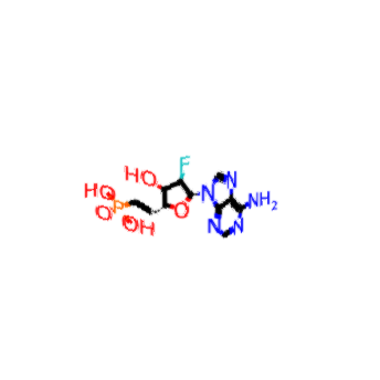 Nc1ncnc2c1ncn2[C@@H]1O[C@H](/C=C/P(=O)(O)O)[C@@H](O)[C@H]1F